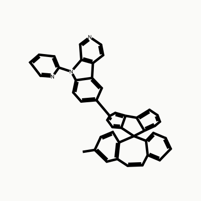 Cc1ccc2c(c1)C=Cc1ccccc1C21c2ccccc2-c2cc(-c3ccc4c(c3)c3ccncc3n4-c3ccccn3)ccc21